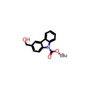 CC(C)(C)OC(=O)n1c2ccccc2c2cc(CO)ccc21